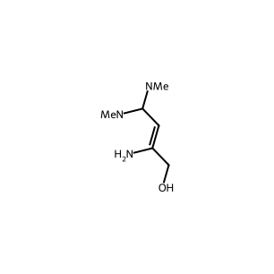 CNC(/C=C(\N)CO)NC